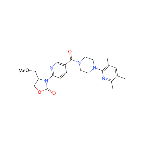 COCC1COC(=O)N1c1ccc(C(=O)N2CCN(c3nc(C)c(C)cc3C)CC2)cn1